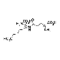 N[C@H](CCC(=O)N[C@@](N)(CCCCC(=O)O)C(=O)O)C(=O)O